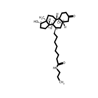 CCCNC(=O)CCCCCCC[C@@H]1C[C@H]2CC(=O)CC[C@]2(C)[C@H]2CC[C@]3(C)[C@@H](O)CC[C@H]3[C@H]12